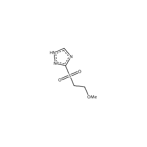 COCCS(=O)(=O)c1nc[nH]n1